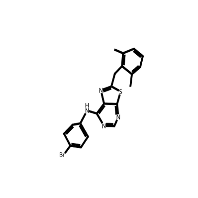 Cc1cccc(C)c1Cc1nc2c(Nc3ccc(Br)cc3)ncnc2s1